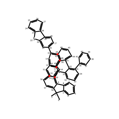 CC1(C)c2ccccc2-c2c(N(c3ccc(-c4ccc5c(c4)sc4ccccc45)cc3)c3cccc(-c4ccccc4)c3-c3ccccc3-c3ccccc3)cccc21